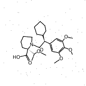 COc1cc([C@@H](C(=O)N2CCCC[C@@]2(C(=O)O)C(C)OC)C2CCCCC2)cc(OC)c1OC